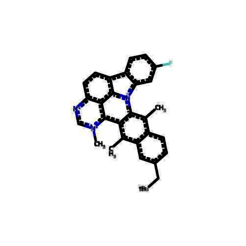 Cc1c2cc(CC(C)(C)C)ccc2c(C)c2c1c1c3c(ccc4c5ccc(F)cc5n2c43)nc[n+]1C